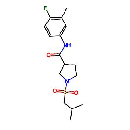 Cc1cc(NC(=O)C2CCN(S(=O)(=O)CC(C)C)C2)ccc1F